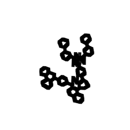 c1ccc(-c2cccc(-c3nc(-c4ccc(-c5cccc6c5nc(-c5ccc(-c7cc8ccccc8c8ccccc78)cc5)c5ccc7ccccc7c56)cc4)nc(-c4cccc(-c5ccccc5)c4)n3)c2)cc1